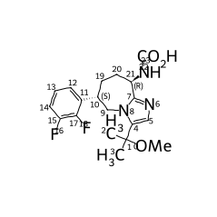 COC(C)(C)c1cnc2n1C[C@H](c1cccc(F)c1F)CC[C@H]2NC(=O)O